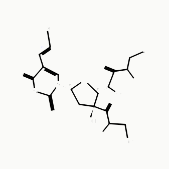 CC(C)CC(O)C(=O)C(O)[C@H]1O[C@@H](n2cc(/C=C/Br)c(=O)[nH]c2=O)C[C@@]1(O)C(=O)C(O)CC(C)C